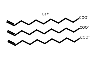 C=CCCCCCCCCC(=O)[O-].C=CCCCCCCCCC(=O)[O-].C=CCCCCCCCCC(=O)[O-].[Ga+3]